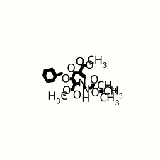 COC(=O)c1cn(NC(=O)OC(C)(C)C)c(C(=O)OC)c(OCc2ccccc2)c1=O